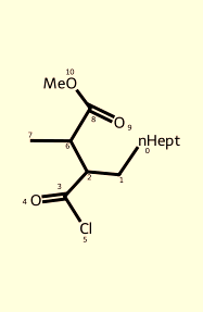 CCCCCCCCC(C(=O)Cl)C(C)C(=O)OC